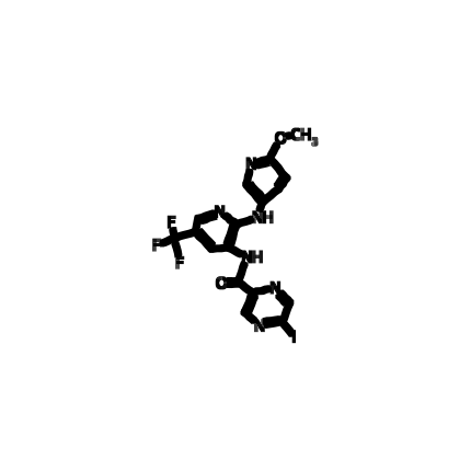 COc1ccc(Nc2ncc(C(F)(F)F)cc2NC(=O)c2cnc(I)cn2)cn1